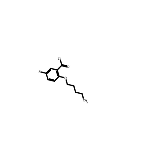 CCCCCOc1ccc(F)cc1C(=O)Cl